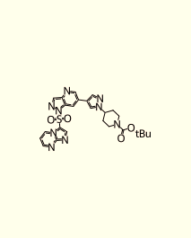 CC(C)(C)OC(=O)N1CCC(n2cc(-c3cnc4cnn(S(=O)(=O)c5cnc6ncccn56)c4c3)cn2)CC1